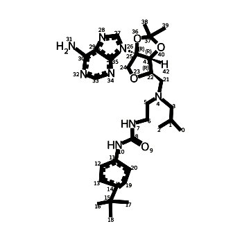 CC(C)CN(CCNC(=O)Nc1ccc(C(C)(C)C)cc1)C[C@H]1OC[C@@]2(n3cnc4c(N)ncnc43)OC(C)(C)O[C@H]12